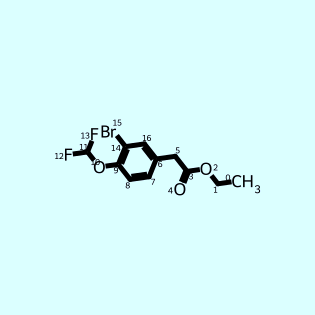 CCOC(=O)Cc1ccc(OC(F)F)c(Br)c1